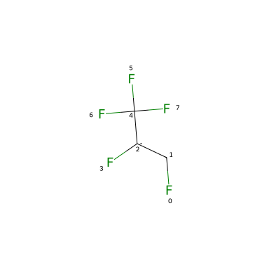 FC[C](F)C(F)(F)F